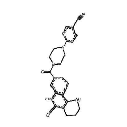 N#Cc1ccc(N2CCN(C(=O)c3ccc4c5c(c(=O)[nH]c4c3)CCCN5)CC2)nc1